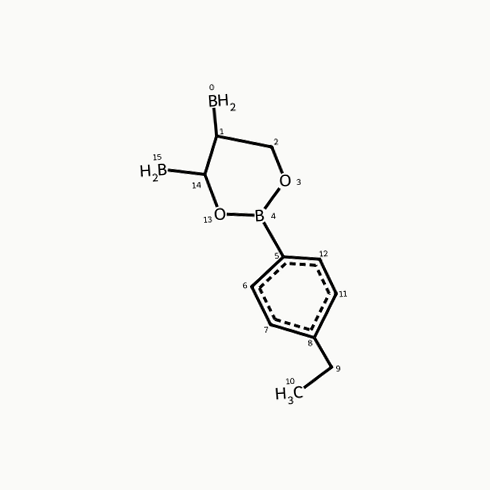 BC1COB(c2ccc(CC)cc2)OC1B